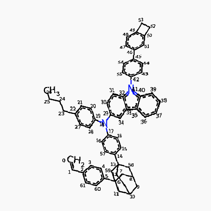 C=Cc1ccc(C23CC4CC(C2)CC(c2ccc(N(c5ccc(CCCC)cc5)c5ccc6c(c5)c5ccccc5n6-c5ccc(-c6ccc7c(c6)CC7)cc5)cc2)(C4)C3)cc1